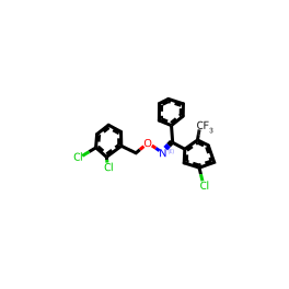 FC(F)(F)c1ccc(Cl)cc1/C(=N/OCc1cccc(Cl)c1Cl)c1ccccc1